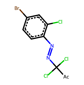 CC(=O)C(Cl)(Cl)/N=N/c1ccc(Br)cc1Cl